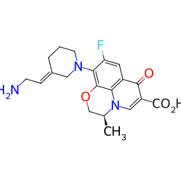 C[C@H]1COc2c(N3CCC/C(=C\CN)C3)c(F)cc3c(=O)c(C(=O)O)cn1c23